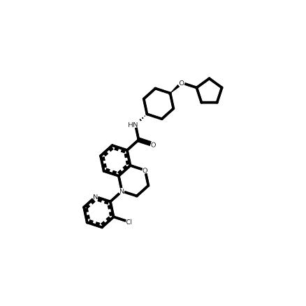 O=C(N[C@H]1CC[C@H](OC2CCCC2)CC1)c1cccc2c1OCCN2c1ncccc1Cl